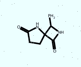 O=C1CCC2(N1)C(=O)NC2P